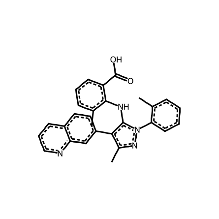 Cc1ccccc1-n1nc(C)c(-c2ccc3cccnc3c2)c1Nc1c(C)cccc1C(=O)O